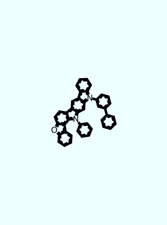 c1ccc(-c2cccc(-n3c4ccccc4c4cc5c6ccc7oc8ccccc8c7c6n(-c6ccccc6)c5cc43)c2)cc1